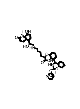 O=C(NC(c1ccccc1)c1cccc(OC(CCCCNC[C@H](O)c2ccc(O)c3[nH]c(=O)ccc23)C(=O)O)c1)O[C@H]1CN2CCC1CC2